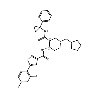 O=C(N[C@H]1CCN(CC2CCCC2)C[C@@H]1C(=O)NC1(c2ncccn2)CC1)c1cc(-c2ccc(F)cc2F)on1